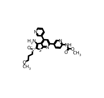 COCCC[S+]([O-])c1sc2nc(-c3ccc(NC(=O)OC)nc3)cc(-c3cccnc3)c2c1N